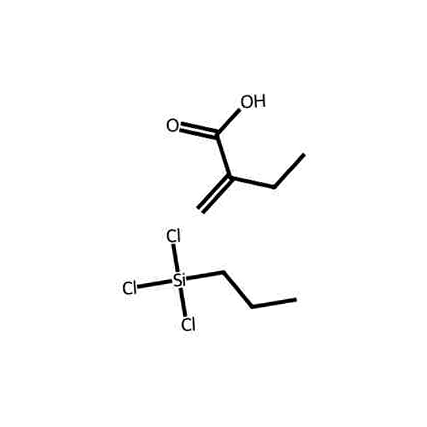 C=C(CC)C(=O)O.CCC[Si](Cl)(Cl)Cl